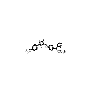 Cc1nc(-c2ccc(C(F)(F)F)cc2)sc1COc1ccc(C(CC(=O)O)c2ccon2)cc1